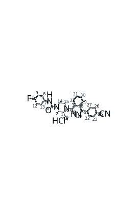 C[C@H]1CN(C(=O)Nc2ccc(F)cc2)CCN1c1nnc(-c2ccc(C#N)cc2)c2ccccc12.Cl